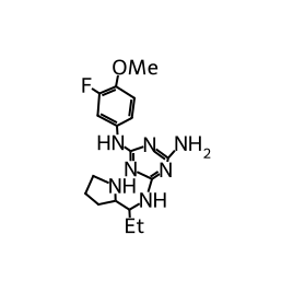 CCC(Nc1nc(N)nc(Nc2ccc(OC)c(F)c2)n1)C1CCCN1